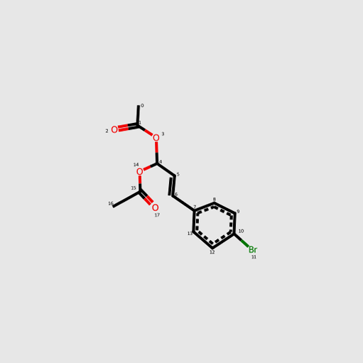 CC(=O)OC(/C=C/c1ccc(Br)cc1)OC(C)=O